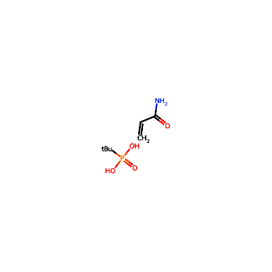 C=CC(N)=O.CC(C)(C)P(=O)(O)O